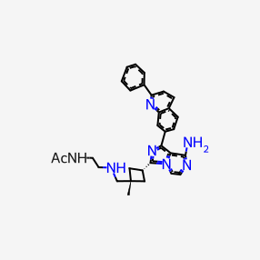 CC(=O)NCCNC[C@]1(C)C[C@H](c2nc(-c3ccc4ccc(-c5ccccc5)nc4c3)c3c(N)nccn32)C1